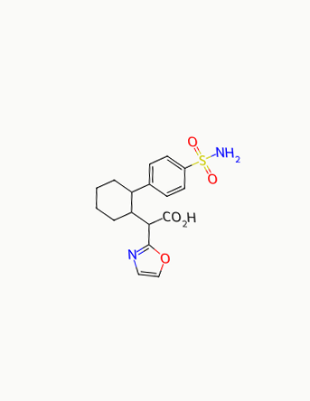 NS(=O)(=O)c1ccc(C2CCCCC2C(C(=O)O)c2ncco2)cc1